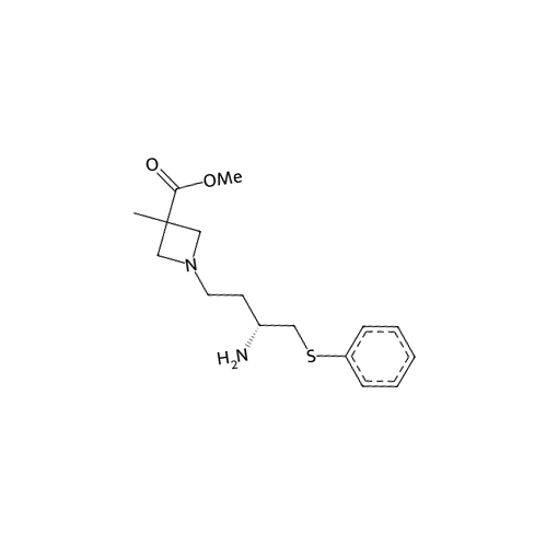 COC(=O)C1(C)CN(CC[C@@H](N)CSc2ccccc2)C1